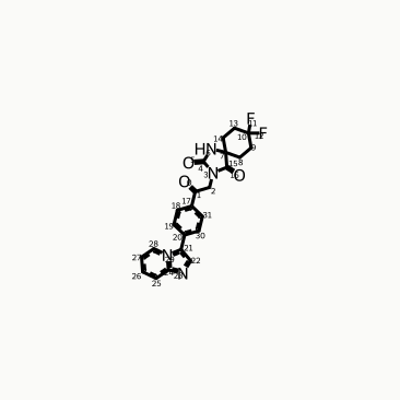 O=C(CN1C(=O)NC2(CCC(F)(F)CC2)C1=O)c1ccc(-c2cnc3ccccn23)cc1